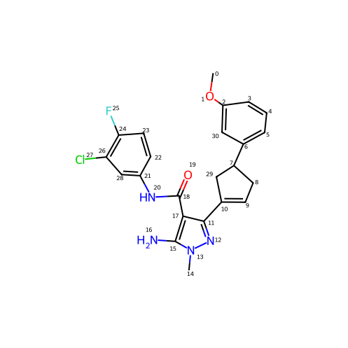 COc1cccc(C2CC=C(c3nn(C)c(N)c3C(=O)Nc3ccc(F)c(Cl)c3)C2)c1